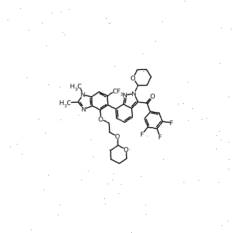 Cc1nc2c(OCCOC3CCCCO3)c(-c3cccc4c(C(=O)c5cc(F)c(F)c(F)c5)n(C5CCCCO5)nc34)c(C(F)(F)F)cc2n1C